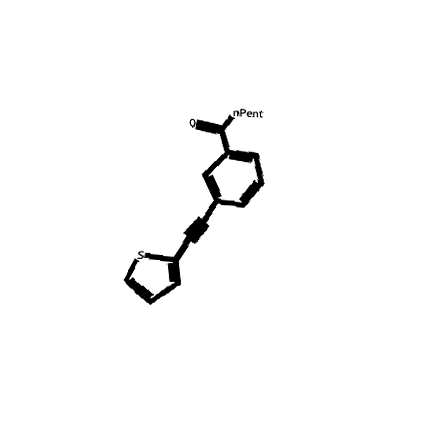 CCCCCC(=O)c1cccc(C#Cc2cccs2)c1